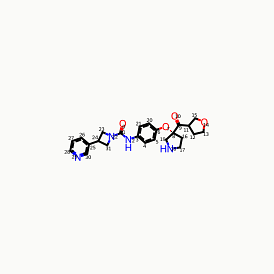 O=C(Nc1ccc(O[C@]2(C(=O)C3CCOC3)CCNC2)cc1)N1CC(c2cccnc2)C1